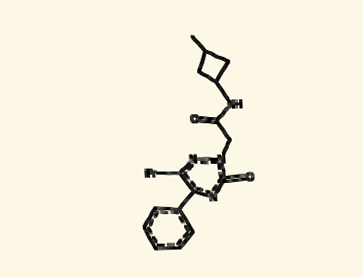 CC1CC(NC(=O)Cn2nc(C(C)C)c(-c3ccccc3)nc2=O)C1